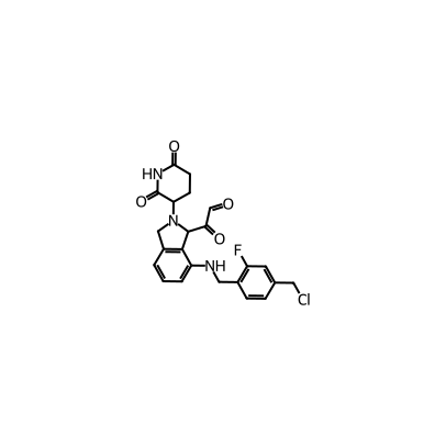 O=CC(=O)C1c2c(cccc2NCc2ccc(CCl)cc2F)CN1C1CCC(=O)NC1=O